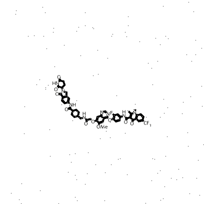 COc1cc2c(Oc3ccc(NC(=O)c4c(C)n(C)c5ccc(C(F)(F)F)cc5c4=O)cc3F)ncnc2cc1OCC(=O)NCC1CCC(C(=O)Nc2ccc3c(c2)CN(C2CCC(=O)NC2=O)C3=O)CC1